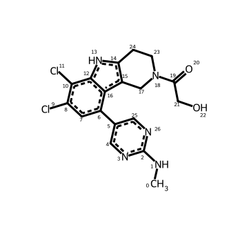 CNc1ncc(-c2cc(Cl)c(Cl)c3[nH]c4c(c23)CN(C(=O)CO)CC4)cn1